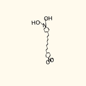 O=[N+]([O-])c1ccc(/C=C/C=C/C=C/C=C/c2ccc(N(CCO)CCO)cc2)cc1